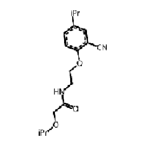 CC(C)OCC(=O)NCCOc1ccc(C(C)C)cc1C#N